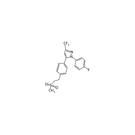 CS(=O)(=O)CCc1ccc(-c2cc(C(F)(F)F)nn2-c2ccc(F)cc2)cc1